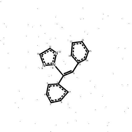 C(=C(c1ccccc1)n1nccn1)c1ccccc1